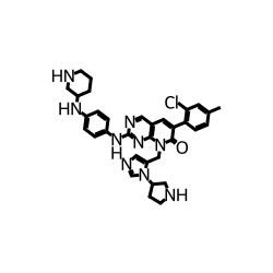 Cc1ccc(-c2cc3cnc(Nc4ccc(NC5CCCNC5)cc4)nc3n(Cc3cncn3C3CCNC3)c2=O)c(Cl)c1